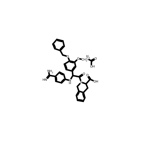 CC(=O)O.COc1cc(C(Nc2ccc(C(=N)N)cc2)C(=O)N2Cc3ccccc3CC2C(=O)O)ccc1OCc1ccccc1